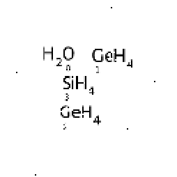 O.[GeH4].[GeH4].[SiH4]